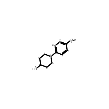 CSc1ccc(N2CCC(O)CC2)nn1